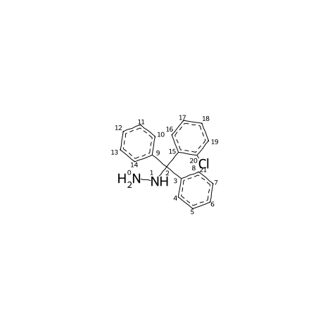 NNC(c1ccccc1)(c1ccccc1)c1ccccc1Cl